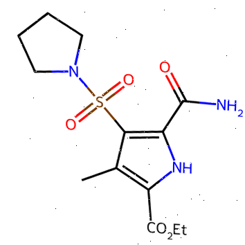 CCOC(=O)c1[nH]c(C(N)=O)c(S(=O)(=O)N2CCCC2)c1C